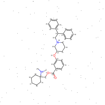 CN(C)C1(COC(=O)c2cccc(OC3CCCN(CC(c4ccccc4)c4ccccc4)C3)c2)CCCCC1